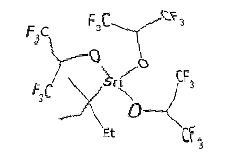 CC[C](C)(C)[Sn]([O]C(C(F)(F)F)C(F)(F)F)([O]C(C(F)(F)F)C(F)(F)F)[O]C(C(F)(F)F)C(F)(F)F